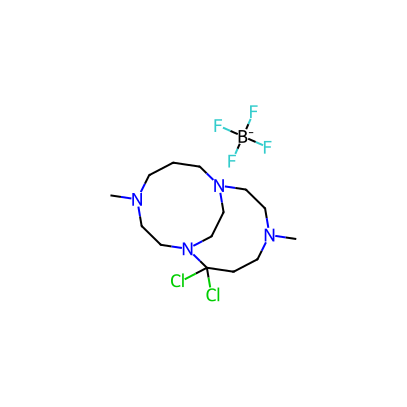 CN1CCCN2CCN(C)CCC(Cl)(Cl)N(CC1)CC2.F[B-](F)(F)F